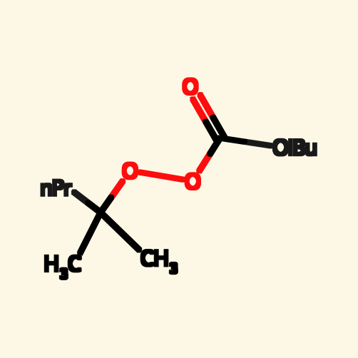 CCCC(C)(C)OOC(=O)OCC(C)C